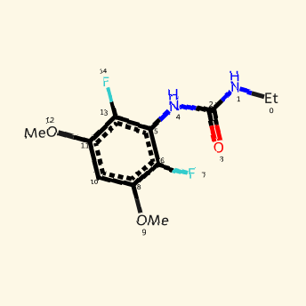 CCNC(=O)Nc1c(F)c(OC)cc(OC)c1F